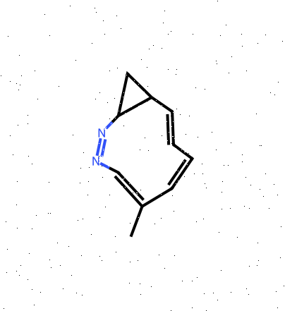 CC1=C\N=N/C2CC2/C=C/C=C\1